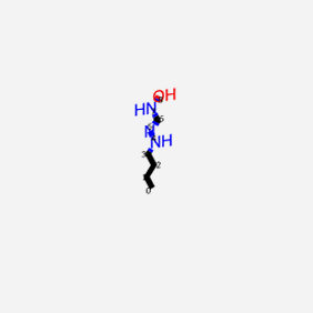 CCCCNN=CNO